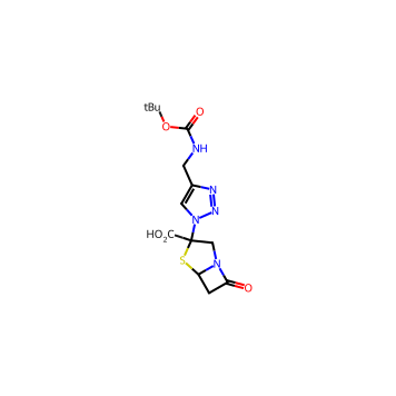 CC(C)(C)OC(=O)NCc1cn(C2(C(=O)O)CN3C(=O)CC3S2)nn1